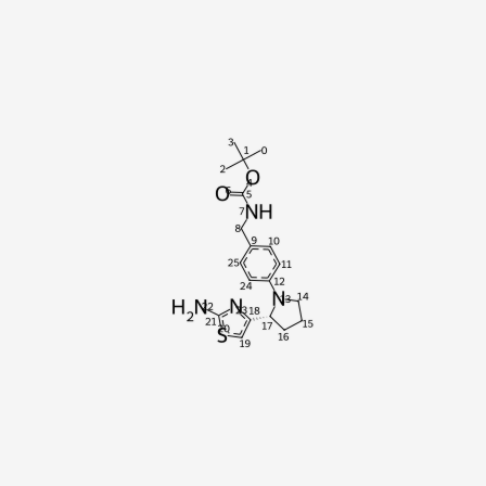 CC(C)(C)OC(=O)NCc1ccc(N2CCC[C@@H]2c2csc(N)n2)cc1